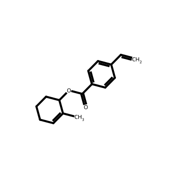 C=Cc1ccc(C(=O)OC2CCCC=C2C)cc1